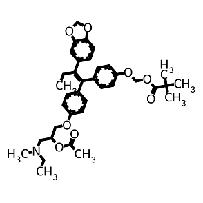 CCC(=C(c1ccc(OCOC(=O)C(C)(C)C)cc1)c1ccc(OCC(CN(C)CC)OC(C)=O)cc1)c1ccc2c(c1)OCO2